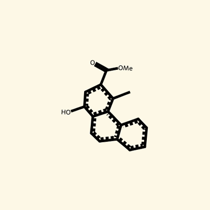 COC(=O)c1cc(O)c2ccc3ccccc3c2c1C